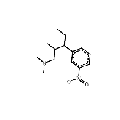 CCC(c1cccc([N+](=O)[O-])c1)C(C)CN(C)C